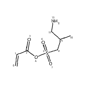 C=CC(=O)OS(=O)(=O)CC(C)CN